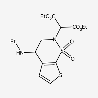 CCNC1CN(C(C(=O)OCC)C(=O)OCC)S(=O)(=O)c2sccc21